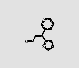 O=CC=C(c1cccnc1)c1cccs1